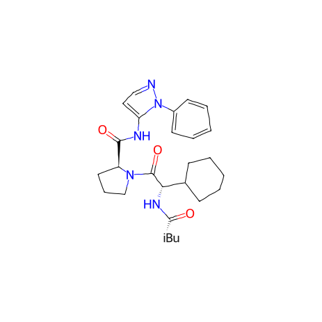 CC[C@@H](C)C(=O)N[C@H](C(=O)N1CCC[C@H]1C(=O)Nc1ccnn1-c1ccccc1)C1CCCCC1